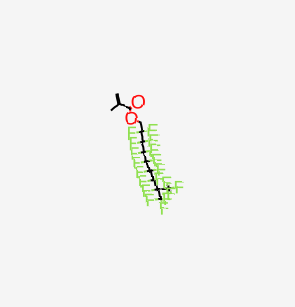 C=C(C)C(=O)OCC(F)(F)C(F)(F)C(F)(F)C(F)(F)C(F)(F)C(F)(F)C(F)(C(F)(F)F)C(F)(F)F